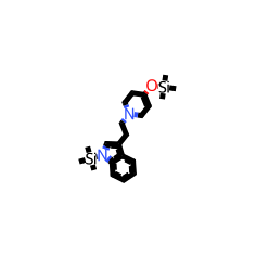 C[Si](C)(C)OC1=CCN(CCc2cn([Si](C)(C)C)c3ccccc23)CC1